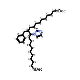 CCCCCCCCCCCCCCCCCCCC(Cc1ccccc1)C(CCCCCCCCCCCCCCCCCCC)n1ccnc1